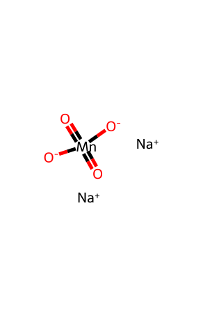 [Na+].[Na+].[O]=[Mn](=[O])([O-])[O-]